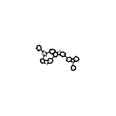 c1ccc(-c2nc(-c3ccccc3)nc(-c3cccc4oc5ccc(-c6ccc7oc8ccc(-c9ccc%10c(c9)c9ccccc9n%10-c9ccccc9)cc8c7c6)cc5c34)n2)cc1